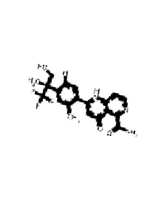 Cc1cc([C@@](C)(CO)C(F)(F)F)c(Cl)cc1-c1cc(=O)c2c(C(N)=O)nccc2[nH]1